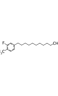 CCCCCCCCCCCc1ccc(C)c(F)c1